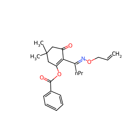 C=CCON=C(CCC)C1=C(OC(=O)c2ccccc2)CC(C)(C)CC1=O